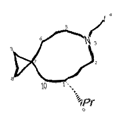 CC(C)[C@H]1CN(I)CCC2(CC2)C1